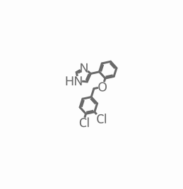 Clc1ccc(COc2ccccc2-c2c[nH]cn2)cc1Cl